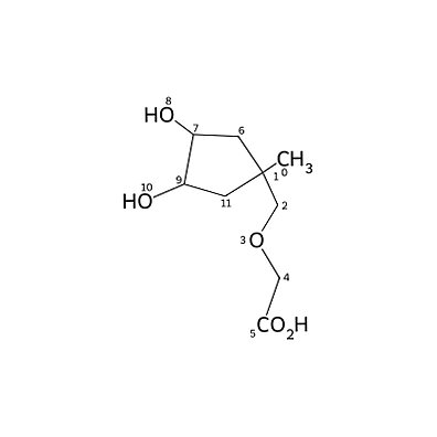 CC1(COCC(=O)O)CC(O)C(O)C1